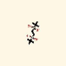 CC(C)(C)[Si](Br)(Br)CC[Si](Br)(Br)C(C)(C)C